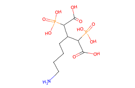 NCCCCC(C(C(=O)O)P(=O)(O)O)C(C(=O)O)P(=O)(O)O